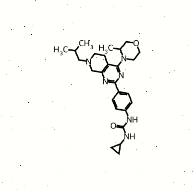 CC(C)CN1CCc2c(nc(-c3ccc(NC(=O)NC4CC4)cc3)nc2N2CCOCC2C)C1